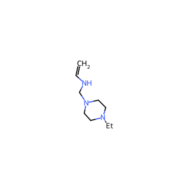 C=CNCN1CCN(CC)CC1